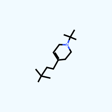 CC(C)(C)CCC1=CCN(C(C)(C)C)CC1